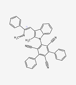 C=N/C(=C\c1c(C)n(-c2c(C#N)c(-c3ccccc3)c(C#N)c(-c3ccccc3)c2C#N)c2ccccc12)c1ccccc1